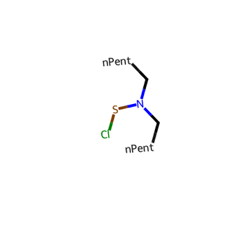 CCCCCCN(CCCCCC)SCl